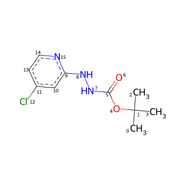 CC(C)(C)OC(=O)NNc1cc(Cl)ccn1